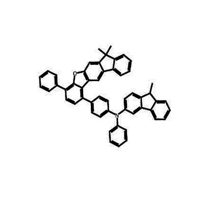 CC1c2ccccc2-c2cc(N(c3ccccc3)c3ccc(-c4ccc(-c5ccccc5)c5oc6cc7c(cc6c45)-c4ccccc4C7(C)C)cc3)ccc21